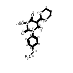 CCCCN1C(=O)C(=C2SCCCS2)C(=O)N(c2ccc(SC(F)(F)F)cc2)C1=O